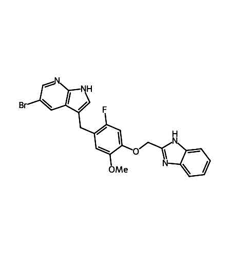 COc1cc(Cc2c[nH]c3ncc(Br)cc23)c(F)cc1OCc1nc2ccccc2[nH]1